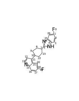 Fc1ccc2[nH]c(C3CCC(c4ccnc5ccc(F)cc45)CC3)nc2c1